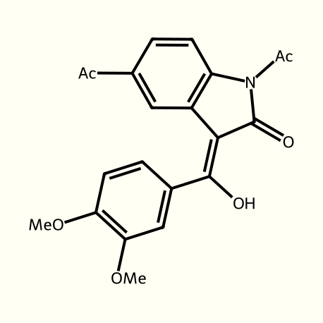 COc1ccc(/C(O)=C2/C(=O)N(C(C)=O)c3ccc(C(C)=O)cc32)cc1OC